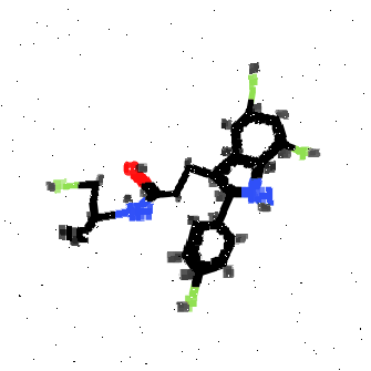 CC(CF)NC(=O)CCc1c(-c2ccc(F)cc2)[nH]c2c(F)cc(F)cc12